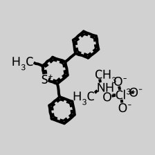 CNC.Cc1cc(-c2ccccc2)cc(-c2ccccc2)[s+]1.[O-][Cl+3]([O-])([O-])[O-]